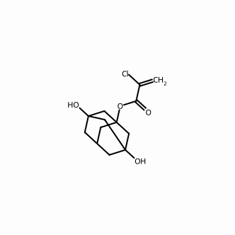 C=C(Cl)C(=O)OC12CC3CC(O)(CC(O)(C3)C1)C2